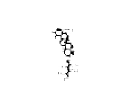 CC1CCC2(C(=O)O)CCC3(C)C(=CCC4C5(C)CCC(OC(=O)C(O)C(O)C(O)C(O)CO)C(C)(C)C5CCC43C)C2C1C